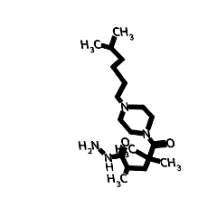 CC(C)CCCCN1CCN(C(=O)C(C)(C)CC(C)C(=O)NN)CC1